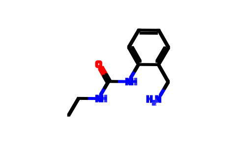 CCNC(=O)Nc1ccccc1CN